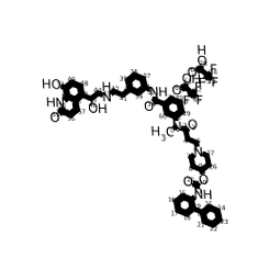 CN(C(=O)CCN1CCC(OC(=O)Nc2ccccc2-c2ccccc2)CC1)c1cccc(C(=O)Nc2cccc(CCNC[C@H](O)c3ccc(O)c4[nH]c(=O)ccc34)c2)c1.O=C(O)C(F)(F)F.O=C(O)C(F)(F)F